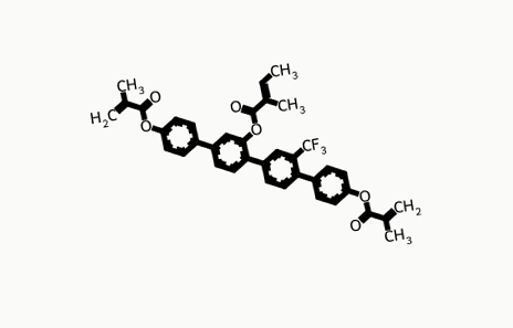 C=C(C)C(=O)Oc1ccc(-c2ccc(-c3ccc(-c4ccc(OC(=O)C(=C)C)cc4)c(C(F)(F)F)c3)c(OC(=O)/C(C)=C/C)c2)cc1